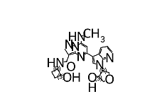 CNc1cc(-c2cn([C@@H]3COC[C@H]3O)c3ncccc23)nc2c(C(=O)N[C@@H]3CC[C@@H]3O)cnn12